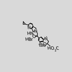 Br.CN1CC(CC(=O)O)Oc2c1cc(C(=O)CN1Cc3ccc(C4CC4)nc3C1=N)cc2C(C)(C)C